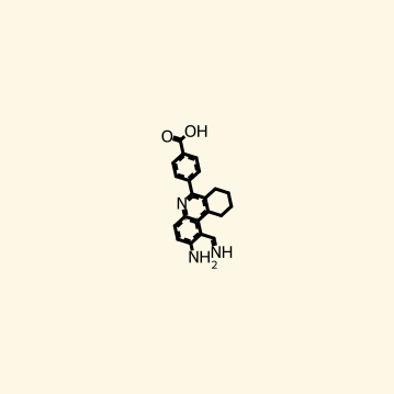 N=Cc1c(N)ccc2nc(-c3ccc(C(=O)O)cc3)c3c(c12)CCCC3